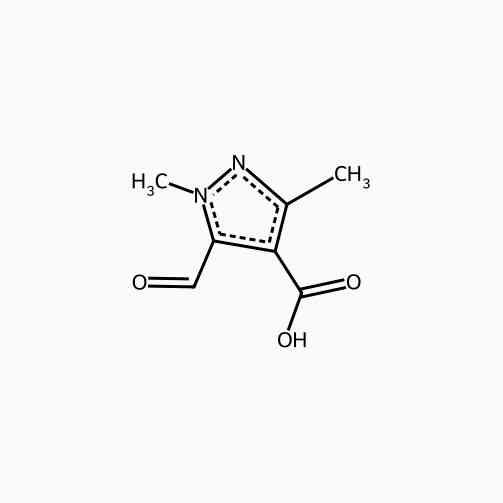 Cc1nn(C)c(C=O)c1C(=O)O